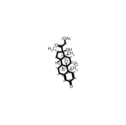 CC(=O)OCC(=O)[C@@]1(O)[C@@H](C)C[C@H]2[C@@H]3CCC4=CC(=O)C=C[C@]4(C)[C@@]3(Cl)[C@@H](Cl)C[C@@]21C